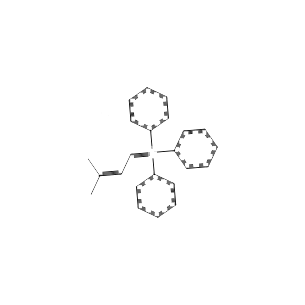 CC(C)=CC=P(c1ccccc1)(c1ccccc1)c1ccccc1.[Ru]